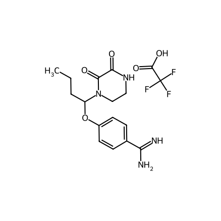 CCCC(Oc1ccc(C(=N)N)cc1)N1CCNC(=O)C1=O.O=C(O)C(F)(F)F